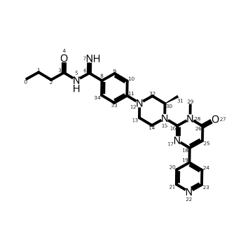 CCCC(=O)NC(=N)c1ccc(N2CCN(c3nc(-c4ccncc4)cc(=O)n3C)[C@H](C)C2)cc1